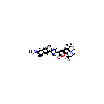 CC1(C)CCN2CCC(C)(C)c3c2c1cc1cc(-c2cnc(-c4cc5ccc(N)cc5oc4=O)cn2)c(=O)oc31